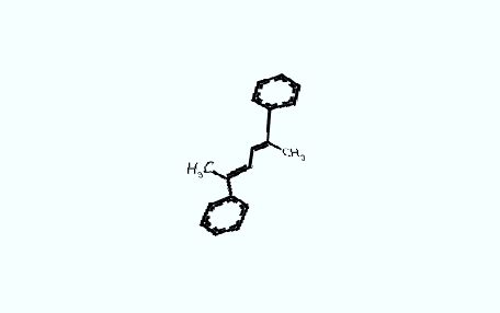 C/C(=C\C=C(/C)c1ccccc1)c1ccccc1